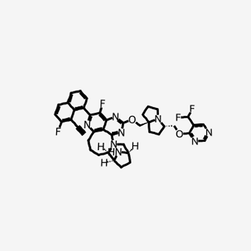 C#Cc1c(F)ccc2cccc(-c3nc4c5c(nc(OC[C@@]67CCCN6[C@H](COc6ncncc6C(F)F)CC7)nc5c3F)N3C[C@H]5CC[C@H](N5)[C@H]3CCC4)c12